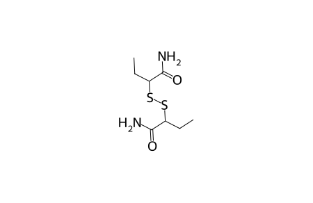 CCC(SSC(CC)C(N)=O)C(N)=O